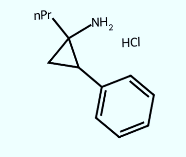 CCCC1(N)CC1c1ccccc1.Cl